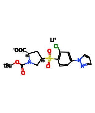 CC(C)(C)OC(=O)N1C[C@H](S(=O)(=O)c2ccc(-n3cccn3)cc2Cl)C[C@H]1C(=O)[O-].[Li+]